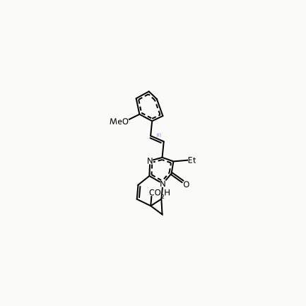 CCc1c(/C=C/c2ccccc2OC)nc2n(c1=O)C1CC1(C(=O)O)C=C2